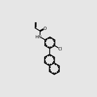 C=CC(=O)Nc1ccc(Cl)c(-c2ccc3ccccc3c2)c1